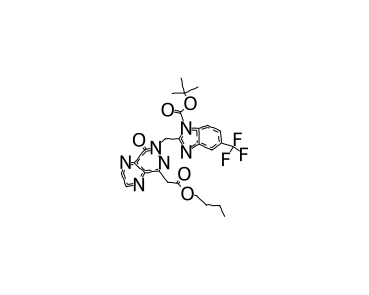 CCCCOC(=O)Cc1nn(Cc2nc3cc(C(F)(F)F)ccc3n2C(=O)OC(C)(C)C)c(=O)c2nccnc12